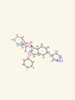 O=C(COc1ccccc1)N1C2CCC1C(Cn1ncc3cc(-c4cn[nH]c4)ccc31)C2